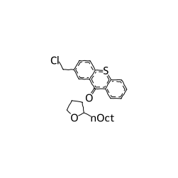 CCCCCCCCC1CCCO1.O=c1c2ccccc2sc2ccc(CCl)cc12